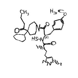 CCCC(=O)C1(C2CCCCC2)CCN(C(=O)[C@@H](Cc2ccc(OC)cc2)N(S)C(=O)NCCc2c[nH]nn2)CC1